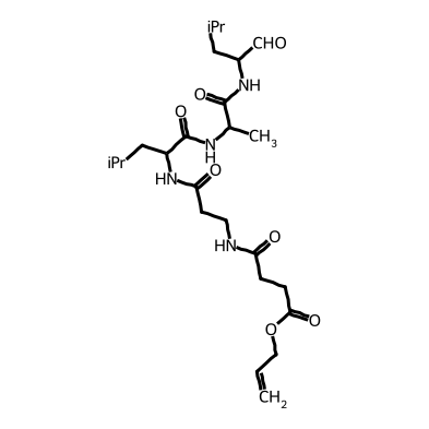 C=CCOC(=O)CCC(=O)NCCC(=O)NC(CC(C)C)C(=O)NC(C)C(=O)NC(C=O)CC(C)C